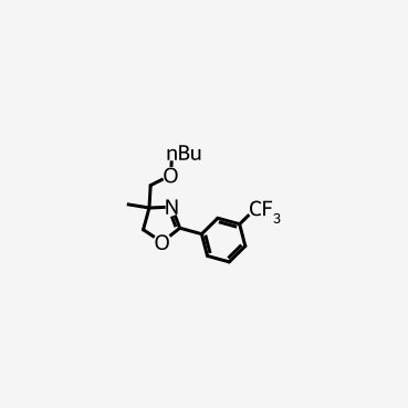 CCCCOCC1(C)COC(c2cccc(C(F)(F)F)c2)=N1